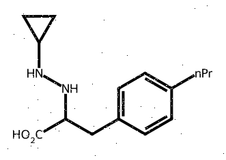 CCCc1ccc(CC(NNC2CC2)C(=O)O)cc1